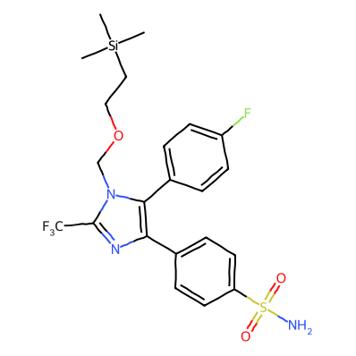 C[Si](C)(C)CCOCn1c(C(F)(F)F)nc(-c2ccc(S(N)(=O)=O)cc2)c1-c1ccc(F)cc1